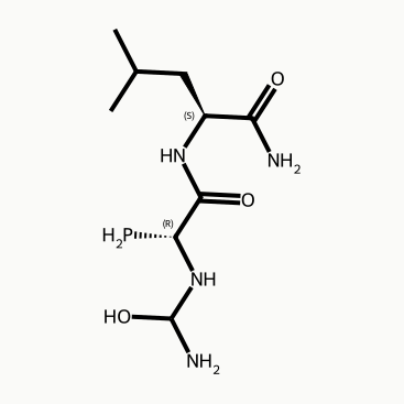 CC(C)C[C@H](NC(=O)[C@@H](P)NC(N)O)C(N)=O